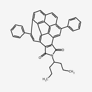 CCCC(CCC)n1c(=O)c2c3cc(-c4ccccc4)c4ccc5ccc6c(-c7ccccc7)cc(c2c1=O)c1c6c5c4c31